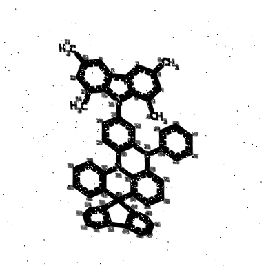 Cc1cc(C)c2c(c1)c1cc(C)cc(C)c1n2-c1ccc2c(c1)B(c1ccccc1)c1cccc3c1N2c1ccccc1C31c2ccccc2-c2ccccc21